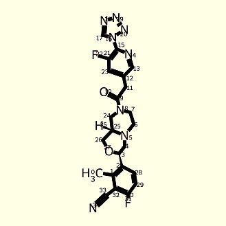 Cc1c([C@@H]2CN3CCN(C(=O)Cc4cnc(-n5cnnn5)c(F)c4)C[C@H]3CO2)ccc(F)c1C#N